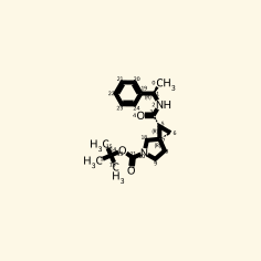 C[C@@H](NC(=O)[C@@H]1C[C@@]12CCN(C(=O)OC(C)(C)C)C2)c1ccccc1